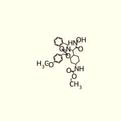 CCOC(=O)NC1CCC(C(C(=O)NO)N(Cc2ccccc2)S(=O)(=O)c2ccc(OC)cc2)CC1